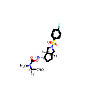 CC(C)[C@@H](C=O)N(C)C(=O)ON[C@H]1CC[C@@H]2CN(S(=O)(=O)c3ccc(F)cc3)C[C@@H]21